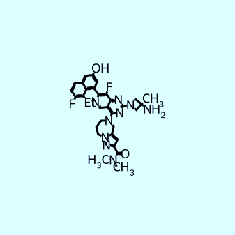 CCc1c(F)ccc2cc(O)cc(-c3ncc4c(N5CCCn6nc(C(=O)N(C)C)cc6C5)nc(N5CC(C)(N)C5)nc4c3F)c12